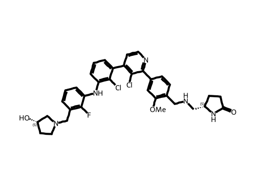 COc1cc(-c2nccc(-c3cccc(Nc4cccc(CN5CC[C@H](O)C5)c4F)c3Cl)c2Cl)ccc1CNC[C@@H]1CCC(=O)N1